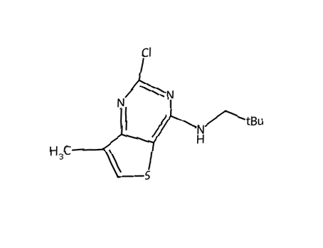 Cc1csc2c(NCC(C)(C)C)nc(Cl)nc12